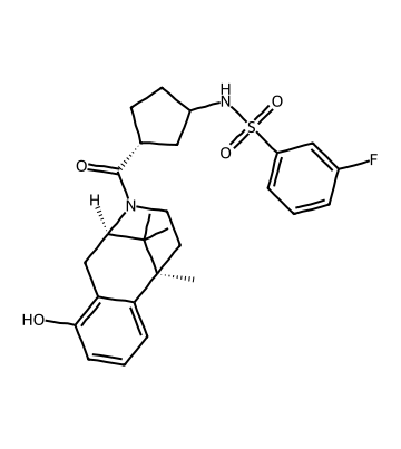 CC1(C)[C@H]2Cc3c(O)cccc3[C@]1(C)CCN2C(=O)[C@@H]1CCC(NS(=O)(=O)c2cccc(F)c2)C1